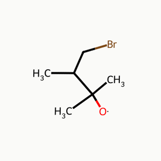 CC(CBr)C(C)(C)[O]